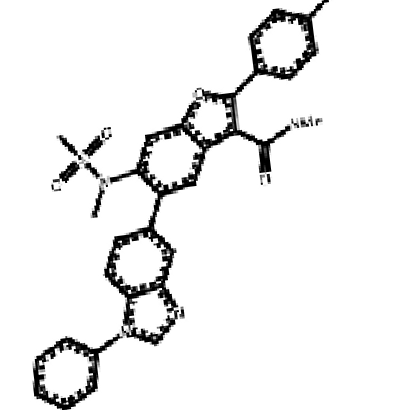 CNC(=O)c1c(-c2ccc(C)cc2)oc2cc(N(C)S(C)(=O)=O)c(-c3ccc4c(c3)ncn4-c3ccccc3)cc12